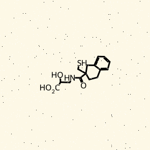 O=C(O)C(O)CNC(=O)C1(CS)CCc2ccccc2C1